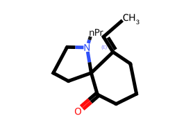 C/C=C1\CCCC(=O)C12CCCN2CCC